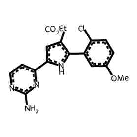 CCOC(=O)c1cc(-c2ccnc(N)n2)[nH]c1-c1cc(OC)ccc1Cl